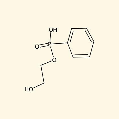 O=P(O)(OCCO)c1ccccc1